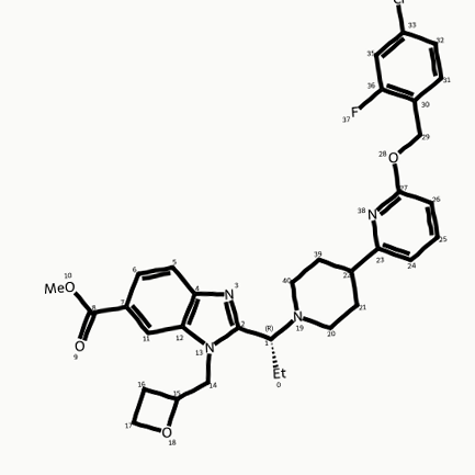 CC[C@H](c1nc2ccc(C(=O)OC)cc2n1CC1CCO1)N1CCC(c2cccc(OCc3ccc(Cl)cc3F)n2)CC1